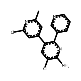 Cc1cc(-c2cc(Cl)c(N)nc2-c2cccnc2)cc(Cl)n1